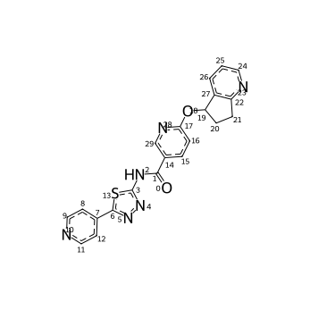 O=C(Nc1nnc(-c2ccncc2)s1)c1ccc(OC2CCc3ncccc32)nc1